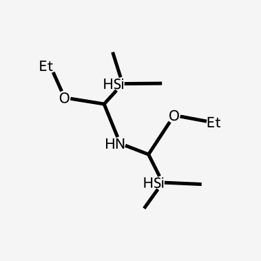 CCOC(NC(OCC)[SiH](C)C)[SiH](C)C